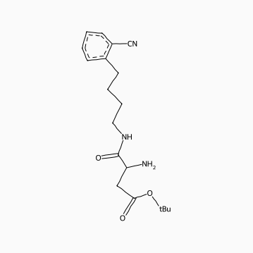 CC(C)(C)OC(=O)CC(N)C(=O)NCCCCc1ccccc1C#N